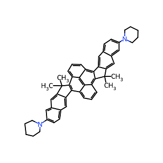 CC1(C)c2cc3cc(N4CCCCC4)ccc3cc2-c2c1c1cccc3c4c(c5cccc2c5c31)C(C)(C)c1cc2cc(N3CCCCC3)ccc2cc1-4